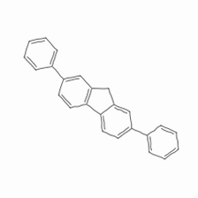 c1ccc(-c2ccc3c(c2)Cc2cc(-c4ccccc4)ccc2-3)cc1